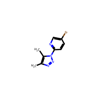 Cc1nnn(-c2ccc(Br)cn2)c1C